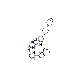 C=N/C(=N\C(=C/C)Nc1ccnc(-c2cccc(C)n2)n1)Nc1ccc(N2CCC(N3CCOCC3)CC2)cc1